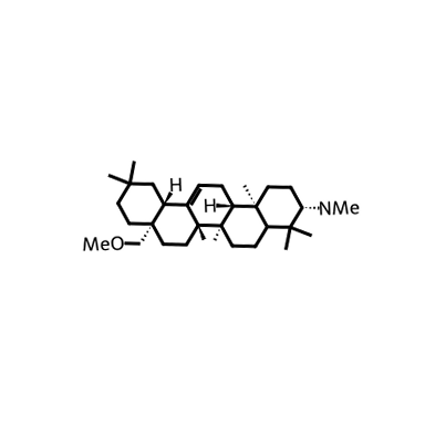 CN[C@H]1CC[C@@]2(C)C(CC[C@]3(C)[C@@H]2CC=C2[C@H]4CC(C)(C)CC[C@]4(COC)CC[C@]23C)C1(C)C